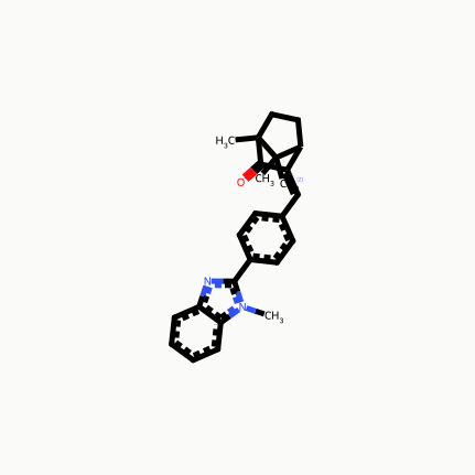 Cn1c(-c2ccc(/C=C3\C(=O)C4(C)CCC3C4(C)C)cc2)nc2ccccc21